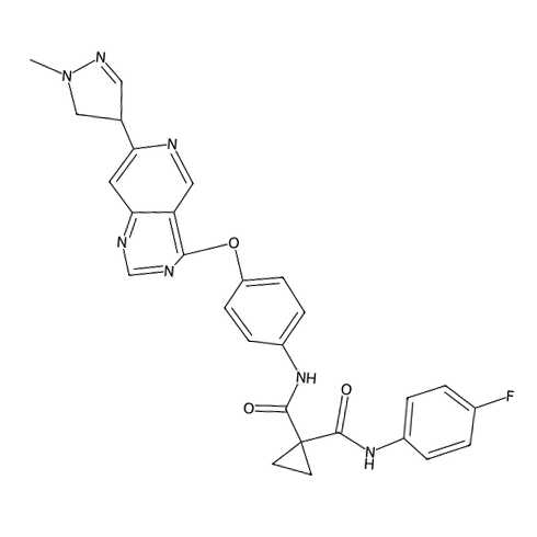 CN1CC(c2cc3ncnc(Oc4ccc(NC(=O)C5(C(=O)Nc6ccc(F)cc6)CC5)cc4)c3cn2)C=N1